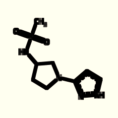 CS(=O)(=O)NC1CCN(c2cc[nH]n2)C1